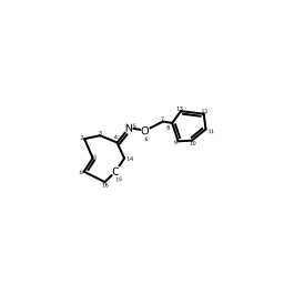 C1=C/CCC(=NOCc2ccccc2)CCC/1